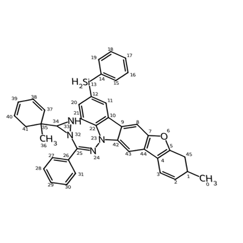 CC1C=Cc2c(oc3cc4c5cc([SiH2]c6ccccc6)ccc5n(/N=C(/c5ccccc5)N5NC5C5(C)C=CC=CC5)c4cc23)C1